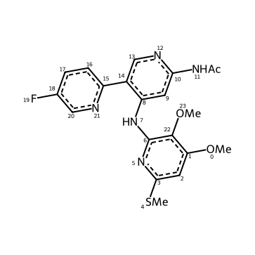 COc1cc(SC)nc(Nc2cc(NC(C)=O)ncc2-c2ccc(F)cn2)c1OC